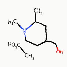 CC(=O)O.CC1CC(CO)CCN1C